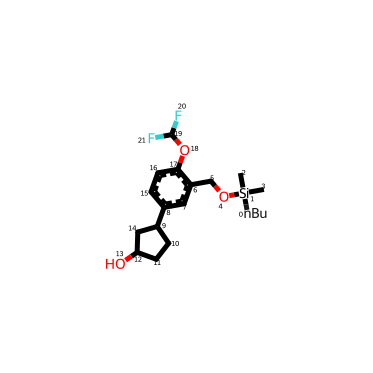 CCCC[Si](C)(C)OCc1cc(C2CCC(O)C2)ccc1OC(F)F